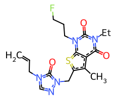 C=CCn1cnn(Cc2sc3c(c2C)c(=O)n(CC)c(=O)n3CCCF)c1=O